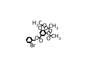 CC(=O)Oc1cc(C(=O)OCc2ccccc2Br)cc(OC(C)=O)c1OC(C)=O